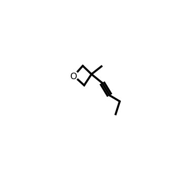 CCC#CC1(C)COC1